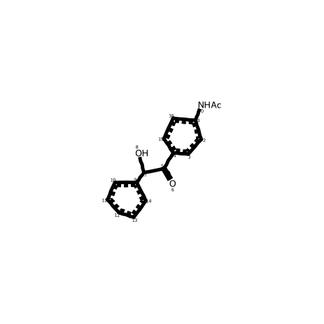 CC(=O)Nc1ccc(C(=O)C(O)c2ccccc2)cc1